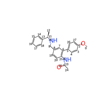 COc1ccc(-c2cc(CN[C@H](C)c3ccccc3)ccc2NC(C)=O)cc1